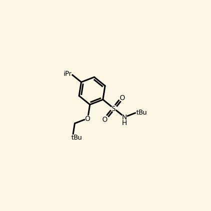 CC(C)c1ccc(S(=O)(=O)NC(C)(C)C)c(OCC(C)(C)C)c1